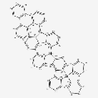 c1ccc(-c2cccc(-n3c4ccccc4c4c(-n5c6ccccc6c6cc([Si](c7ccccc7)(c7ccccc7)c7ccccc7)ccc65)cccc43)c2-c2ccccc2)cc1